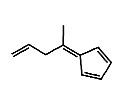 C=CCC(C)=C1C=CC=C1